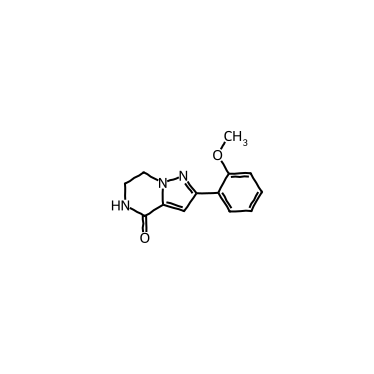 COc1ccccc1-c1cc2n(n1)CCNC2=O